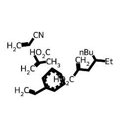 C=C(C)C(=O)O.C=C(CC(CC)CCCC)C(=O)O.C=CC#N.C=Cc1ccccc1